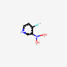 ON(O)c1cnccc1F